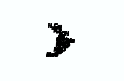 COc1cccc(-c2nnc(NS(=O)(=O)CC(O)c3cnc(C)nc3)n2-c2c(OC)cccc2OC)n1